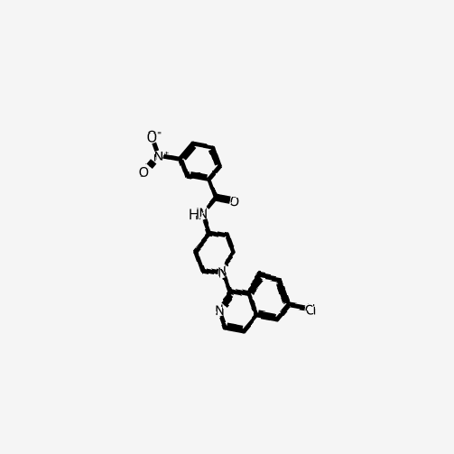 O=C(NC1CCN(c2nccc3cc(Cl)ccc23)CC1)c1cccc([N+](=O)[O-])c1